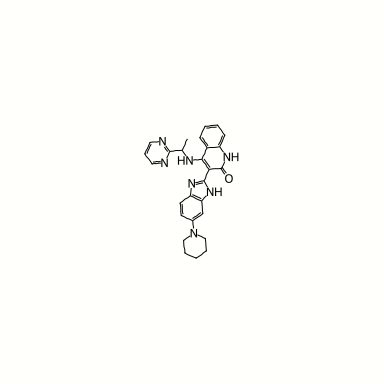 CC(Nc1c(-c2nc3ccc(N4CCCCC4)cc3[nH]2)c(=O)[nH]c2ccccc12)c1ncccn1